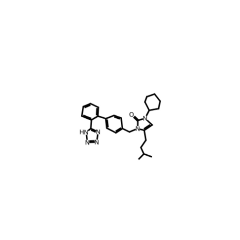 CC(C)CCc1cn(C2CCCCC2)c(=O)n1Cc1ccc(-c2ccccc2-c2nnn[nH]2)cc1